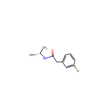 C[C@@H]([C]=O)NC(=O)Cc1cccc(Br)c1